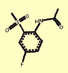 CC(=O)Nc1ccc(F)cc1S(C)(=O)=O